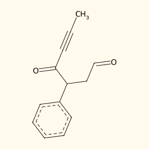 CC#CC(=O)C(CC=O)c1ccccc1